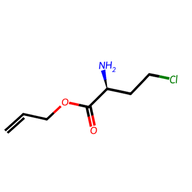 C=CCOC(=O)[C@@H](N)CCCl